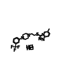 Cc1ccc2nnc(SCCN3CCN(c4cccc(C(F)(F)F)c4)CC3)n2c1.Cl.Cl